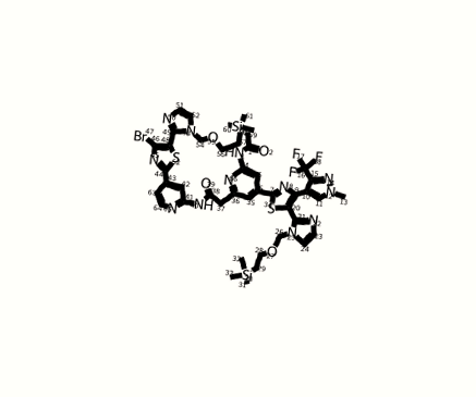 CC(=O)Nc1cc(-c2nc(-c3cn(C)nc3C(F)(F)F)c(-c3nccn3COCC[Si](C)(C)C)s2)cc(CC(=O)Nc2cc(-c3nc(Br)c(-c4nccn4COCC[Si](C)(C)C)s3)ccn2)n1